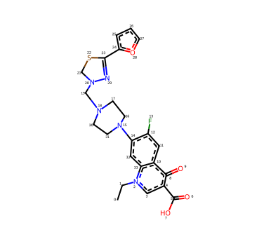 CCn1cc(C(=O)O)c(=O)c2cc(F)c(N3CCN(CN4CSC(c5ccco5)=N4)CC3)cc21